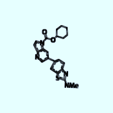 CNc1nc2ccc(-c3cnc4ccn(C(=O)OC5CCCCC5)c4c3)cc2s1